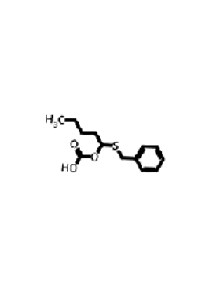 CCCCC(OC(=O)O)SCc1ccccc1